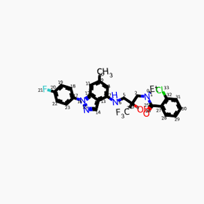 CCN(CC(O)(CNc1cc(C)cc2c1cnn2-c1ccc(F)cc1)C(F)(F)F)C(=O)c1ccccc1Cl